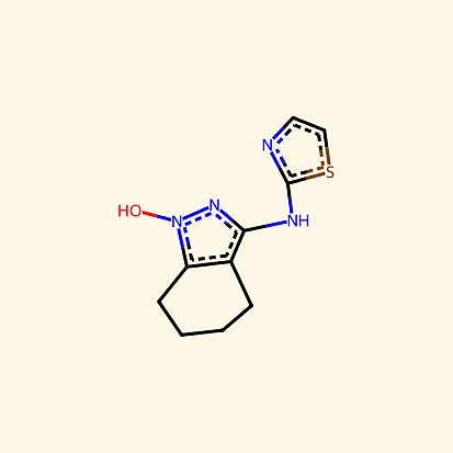 On1nc(Nc2nccs2)c2c1CCCC2